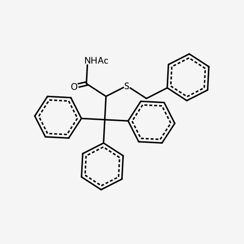 CC(=O)NC(=O)C(SCc1ccccc1)C(c1ccccc1)(c1ccccc1)c1ccccc1